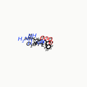 CCCC(CC)N(C(=O)c1cc2ccccc2oc1=O)C(=O)[C@H](CCCNC(=N)N)N[N+](=O)[O-]